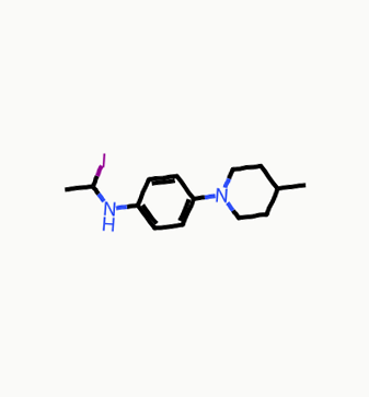 CC1CCN(c2ccc(NC(C)I)cc2)CC1